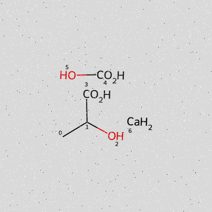 CC(O)C(=O)O.O=C(O)O.[CaH2]